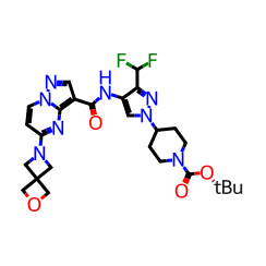 CC(C)(C)OC(=O)N1CCC(n2cc(NC(=O)c3cnn4ccc(N5CC6(COC6)C5)nc34)c(C(F)F)n2)CC1